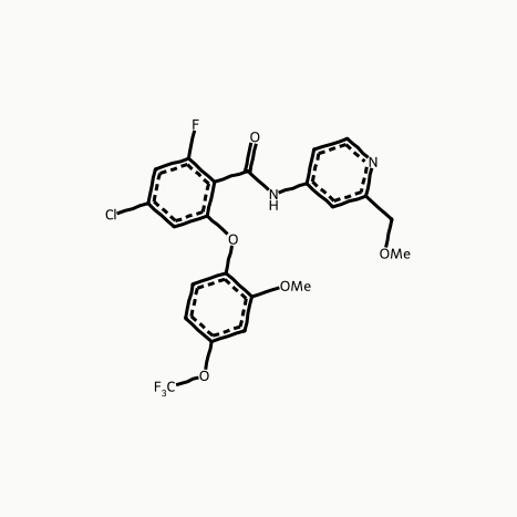 COCc1cc(NC(=O)c2c(F)cc(Cl)cc2Oc2ccc(OC(F)(F)F)cc2OC)ccn1